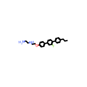 CCCc1ccc(-c2ccc(-c3ccc(OCCNCCN)cc3)cc2F)cc1